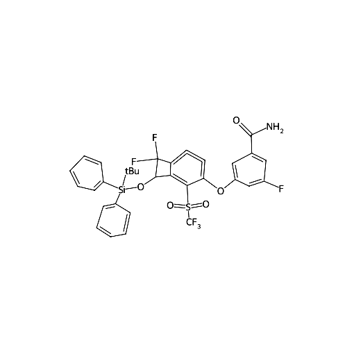 CC(C)(C)[Si](OC1C2=C(S(=O)(=O)C(F)(F)F)C(Oc3cc(F)cc(C(N)=O)c3)=C=C=C2C1(F)F)(c1ccccc1)c1ccccc1